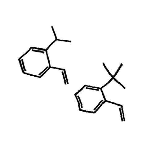 C=Cc1ccccc1C(C)(C)C.C=Cc1ccccc1C(C)C